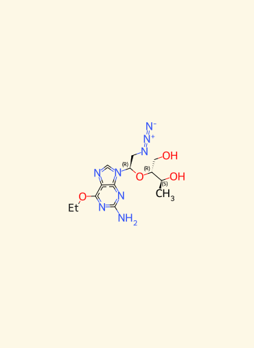 CCOc1nc(N)nc2c1ncn2[C@@H](CN=[N+]=[N-])O[C@H](CO)[C@H](C)O